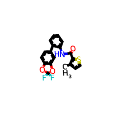 Cc1ccsc1C(=O)Nc1ccccc1-c1ccc2c(c1)OC(F)(F)O2